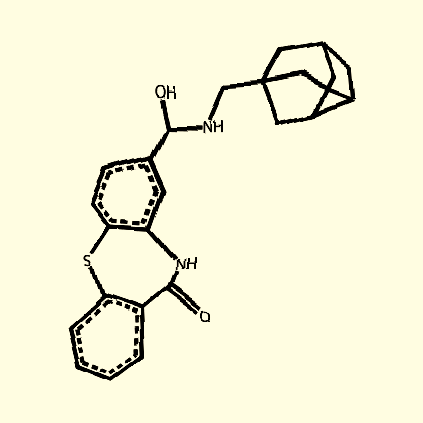 O=C1Nc2cc(C(O)NCC34CC5CC(C3)C(C5)C4)ccc2Sc2ccccc21